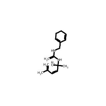 C=C(C)/C=C\C(C)(C)NC(=C)NCC1=CCCC=C1